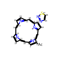 CC(=O)C1=CC2=NC1=CC1=NC(=CC3=NC(=CC4=NC(=C2)C=C4)C=C3)C=C1.c1csnn1